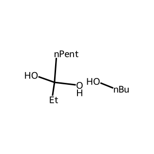 CCCCCC(O)(O)CC.CCCCO